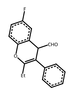 CCC1=C(c2ccccc2)C(C=O)c2cc(F)ccc2O1